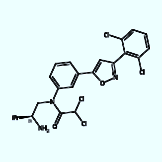 CC(C)[C@H](N)CN(C(=O)C(Cl)Cl)c1cccc(-c2cc(-c3c(Cl)cccc3Cl)no2)c1